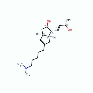 CCC[C@H](O)/C=C/[C@@H]1[C@H]2CC(CCCCCN(C)C)=C[C@H]2C[C@H]1O